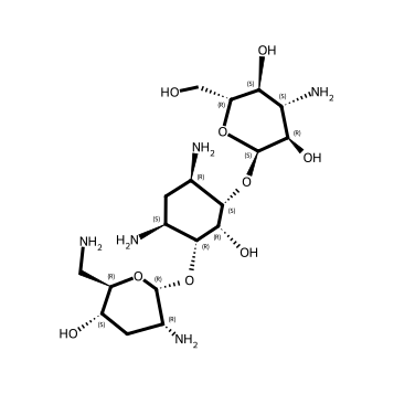 NC[C@H]1O[C@H](O[C@H]2[C@@H](O)[C@@H](O[C@H]3O[C@H](CO)[C@@H](O)[C@H](N)[C@H]3O)[C@H](N)C[C@@H]2N)[C@H](N)C[C@@H]1O